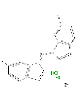 Cc1ccc2c(c1)[CH]([Zr][CH]1C=Cc3ccc(C)cc31)C=C2.Cl.Cl.[Zr]